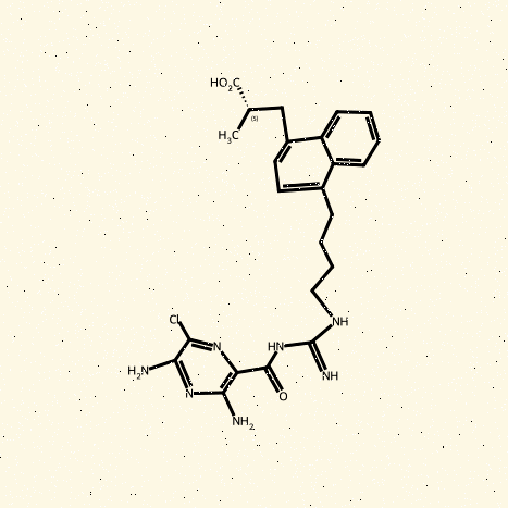 C[C@@H](Cc1ccc(CCCCNC(=N)NC(=O)c2nc(Cl)c(N)nc2N)c2ccccc12)C(=O)O